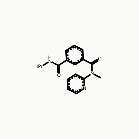 CC(C)NC(=O)c1cccc(C(=O)N(C)c2ccccn2)c1